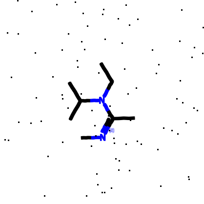 CCN(/C(C)=N\C)C(C)C